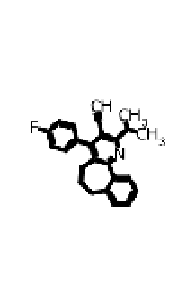 C#Cc1c(C(C)C)nc2c(c1-c1ccc(F)cc1)CCCc1ccccc1-2